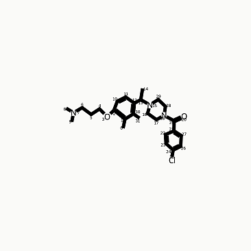 Cc1c(OCCCN(C)C)ccc(C(C)N2CCN(C(=O)c3ccc(Cl)cc3)CC2)c1C